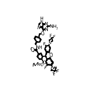 COC(=O)c1ccc(C(=O)NCc2ccc(COc3nc(N)nc4[nH]cnc34)cc2)cc1-c1c2cc(F)c(=[N+]3CC(F)(F)C3)cc-2oc2cc(N3CC(F)(F)C3)c(F)cc12